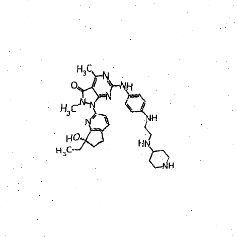 CC[C@@]1(O)CCc2ccc(-n3c4nc(Nc5ccc(NCCNC6CCNCC6)cc5)nc(C)c4c(=O)n3C)nc21